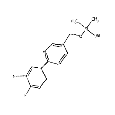 CC(C)(C)[Si](C)(C)OCc1ccc([C]2C=C(F)C(F)=CC2)nc1